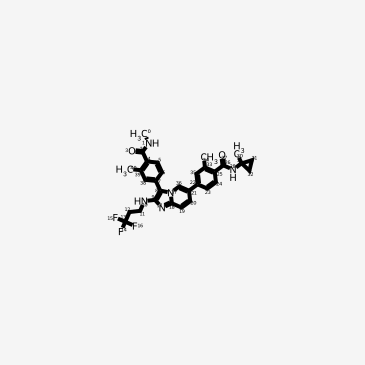 CNC(=O)c1ccc(-c2c(NCCC(F)(F)F)nc3ccc(-c4ccc(C(=O)NC5(C)CC5)c(C)c4)cn23)cc1C